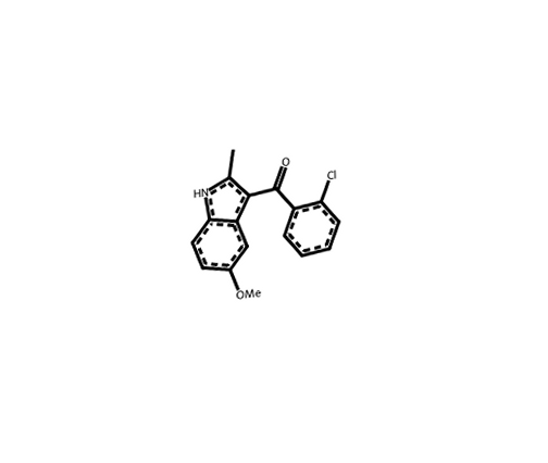 COc1ccc2[nH]c(C)c(C(=O)c3ccccc3Cl)c2c1